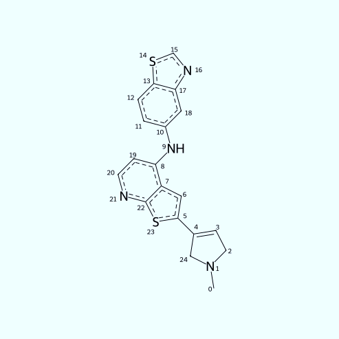 CN1CC=C(c2cc3c(Nc4ccc5scnc5c4)ccnc3s2)C1